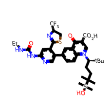 CCNC(=O)Nc1cc(C2=NC(C(F)(F)F)CS2)c(-c2ccc3c(c2)c(=O)c(C(=O)O)cn3[C@H](CCC(C)(C)[Si](C)(C)O)C(C)(C)C)cn1